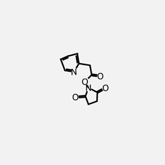 O=C(Cc1ccccn1)ON1C(=O)CCC1=O